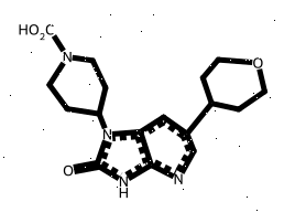 O=C(O)N1CCC(n2c(=O)[nH]c3ncc(C4CCOCC4)cc32)CC1